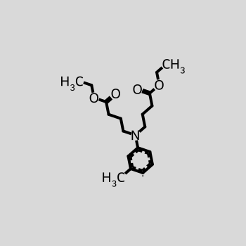 CCOC(=O)CCCN(CCCC(=O)OCC)c1cc[c]c(C)c1